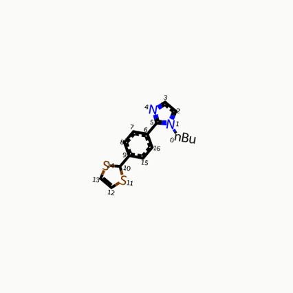 CCCCn1ccnc1-c1ccc(C2SC=CS2)cc1